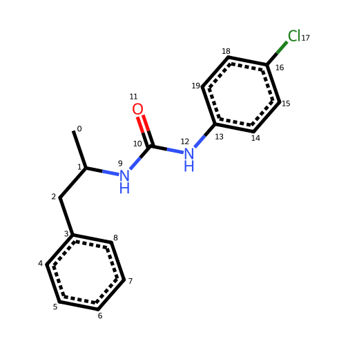 CC(Cc1ccccc1)NC(=O)Nc1ccc(Cl)cc1